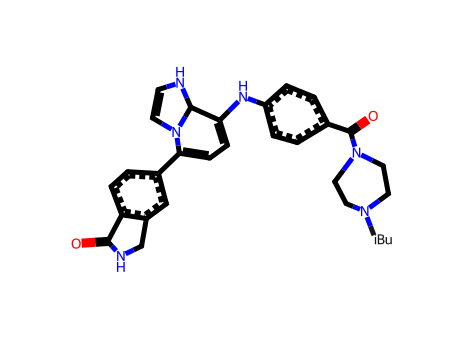 CCC(C)N1CCN(C(=O)c2ccc(NC3=CC=C(c4ccc5c(c4)CNC5=O)N4C=CNC34)cc2)CC1